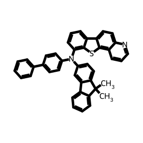 CC1(C)c2ccccc2-c2cc(N(c3ccc(-c4ccccc4)cc3)c3cccc4c3sc3c5cccnc5ccc43)ccc21